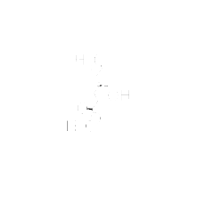 CCC[C@H](CO)CCC(=O)OC